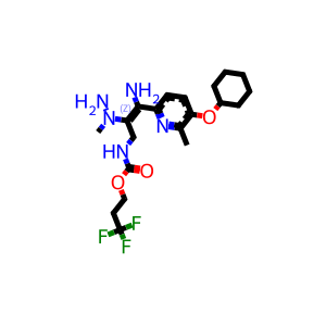 Cc1nc(/C(N)=C(\CNC(=O)OCCC(F)(F)F)N(C)N)ccc1OC1CCCCC1